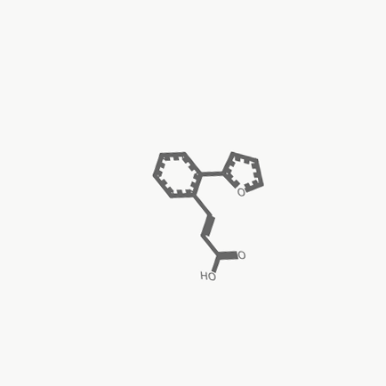 O=C(O)C=Cc1ccccc1-c1ccco1